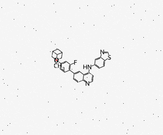 CN1CC2CC(C1)C2Oc1ccc(-c2ccc3nccc(Nc4ccc5scnc5c4)c3c2)c(F)c1